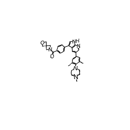 Cc1cc(-c2cnc3[nH]cc(-c4ccc(C(=O)N5CC6(COC6)C5)cc4)c3c2)cc(C)c1N1CCN(C)CC1